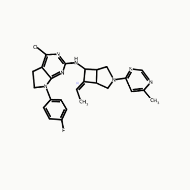 C/C=C1\C2CN(c3cc(C)ncn3)CC2C1Nc1nc(Cl)c2c(n1)N(c1ccc(F)cc1)CC2